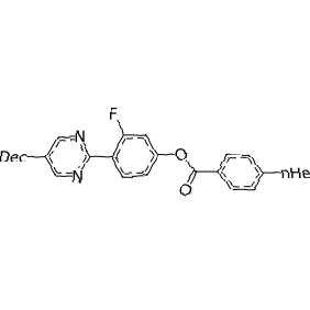 CCCCCCCCCCc1cnc(-c2ccc(OC(=O)c3ccc(CCCCCC)cc3)cc2F)nc1